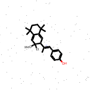 CCC1(OC)C=C2C(=CC1/C(C)=C/c1ccc(O)cc1)C(C)(C)CCC2(C)C